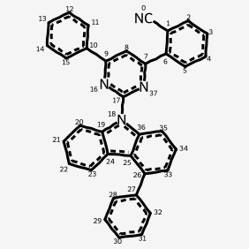 N#Cc1ccccc1-c1cc(-c2ccccc2)nc(-n2c3ccccc3c3c(-c4ccccc4)cccc32)n1